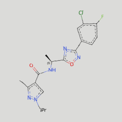 Cc1nn(C(C)C)cc1C(=O)N[C@@H](C)c1nc(-c2ccc(F)c(Cl)c2)no1